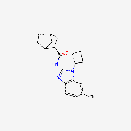 N#Cc1ccc2nc(NC(=O)[C@@H]3CC4CCC3C4)n(C3CCC3)c2c1